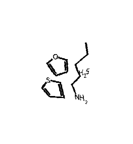 CCCCCN.S.c1ccoc1.c1ccsc1